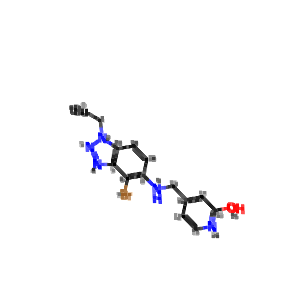 CC(C)(C)Cn1nnc2c(Br)c(NCc3ccnc(O)c3)ccc21